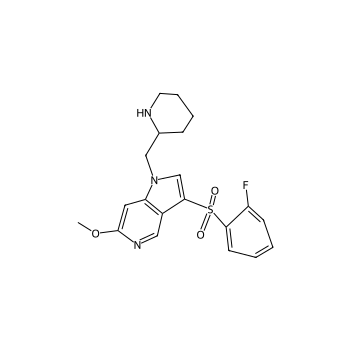 COc1cc2c(cn1)c(S(=O)(=O)c1ccccc1F)cn2CC1CCCCN1